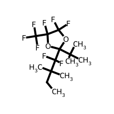 CCC(C)(C)C(F)(F)C1(C(C)(C)C)OC(F)(F)C(F)(C(F)(F)F)O1